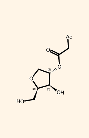 CC(=O)CC(=O)O[C@H]1CO[C@H](CO)[C@@H]1O